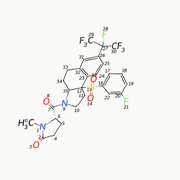 CN1C(=O)CC[C@H]1C(=O)N1CCC2(S(=O)(=O)c3cccc(F)c3)c3ccc(C(F)(C(F)(F)F)C(F)(F)F)cc3CCC12